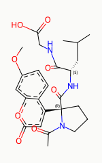 COc1ccc2c([C@@]3(C(=O)N[C@@H](CC(C)C)C(=O)NCC(=O)O)CCCN3C(C)=O)cc(=O)oc2c1